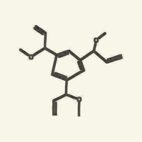 C=CC(OC)c1cc(C(C=C)OC)cc(C(C=C)OC)c1